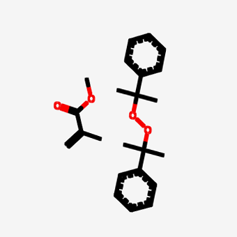 C=C(C)C(=O)OC.CC(C)(OOC(C)(C)c1ccccc1)c1ccccc1